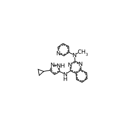 CN(c1cccnc1)c1nc(Nc2cc(C3CC3)n[nH]2)c2ccccc2n1